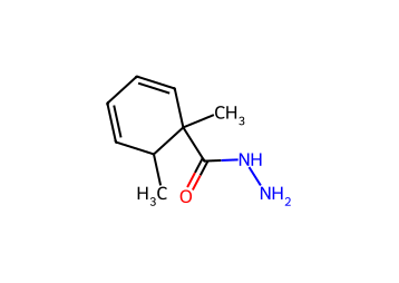 CC1C=CC=CC1(C)C(=O)NN